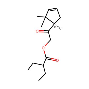 CCC(CC)C(=O)OCC(=O)[C@]1(C)CC=CC1(C)C